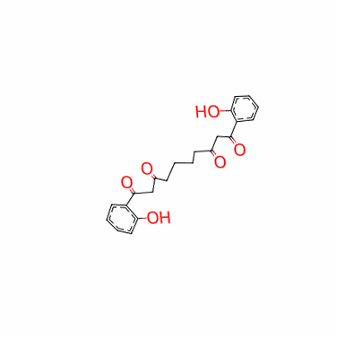 O=C(CCCCC(=O)CC(=O)c1ccccc1O)CC(=O)c1ccccc1O